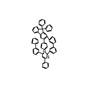 c1ccc(-c2cccc(-c3cc(-c4ccccc4)nc(-c4cccc(-c5cccc(-c6cc7c(cc6-c6ccccc6)-c6ccccc6C7(c6ccccc6)c6ccccc6)c5)c4)n3)c2)cc1